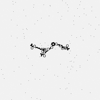 C=C(C)C(=O)OCCCCCNC(=O)OC(COCCOc1cccc(OCCOCC(O)COC(=O)C(=C)C)c1)COC(=O)C(=C)C